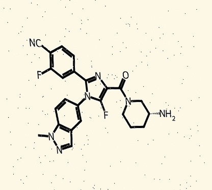 Cn1ncc2cc(-n3c(-c4ccc(C#N)c(F)c4)nc(C(=O)N4CCC[C@@H](N)C4)c3F)ccc21